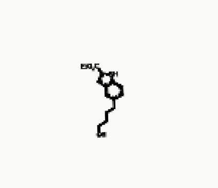 CCOC(=O)c1cc2cc(CCCCO)ccc2[nH]1